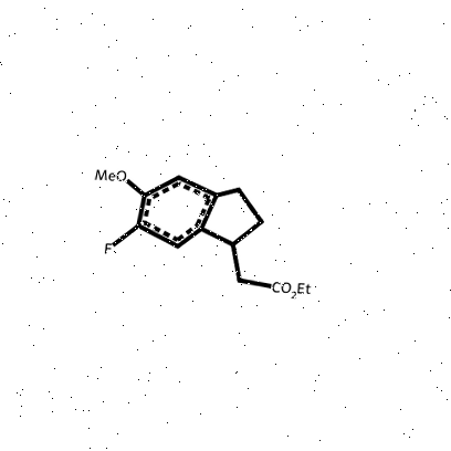 CCOC(=O)CC1CCc2cc(OC)c(F)cc21